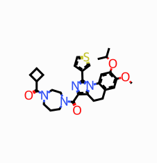 COc1cc2c(cc1OC(C)C)-n1c(-c3ccsc3)nc(C(=O)N3CCCN(C(=O)C4CCC4)CC3)c1CC2